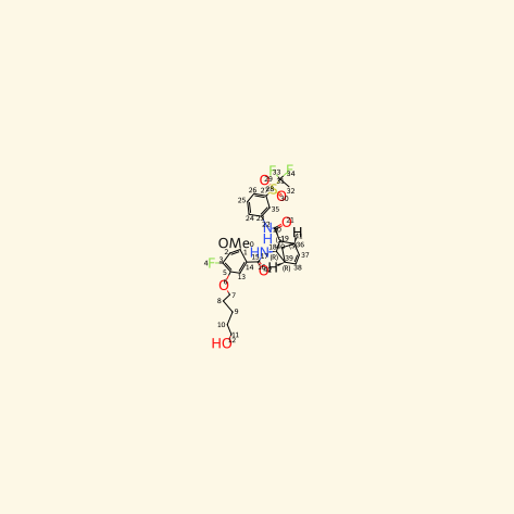 COc1cc(F)c(OCCCCCO)cc1C(=O)N[C@H]1[C@@H](C(=O)Nc2cccc(S(=O)(=O)C(C)(F)F)c2)[C@@H]2C=C[C@H]1C2